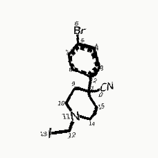 N#CC1(c2ccc(Br)cc2)CCN(CI)CC1